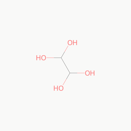 OC(O)C(O)O